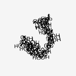 CCSC1CC(=O)N(CNC(=O)C2OC(OC3C(O)C(CO)O[C@@H](C)C3NC(C)=O)C(O)C(O)C2OC2OC(CO)C(O)C(OC3OC(C(=O)NCN4C(=O)CC(SCNC(=O)C5OC(OC6C(O)C(CO)OC(OC7C(C(=O)O)OC(OC8C(O)C(CO)O[C@H](C)C8NC(C)=O)C(O)C7O)C6NC(C)=O)C(O)C(O)C5OC)C4=O)C(OC)C(O)C3O)C2NC(C)=O)C1=O